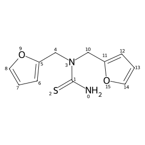 NC(=S)N(Cc1ccco1)Cc1ccco1